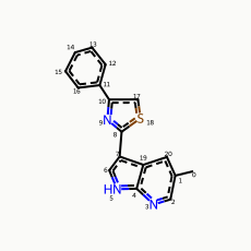 Cc1cnc2[nH]cc(-c3nc(-c4ccccc4)cs3)c2c1